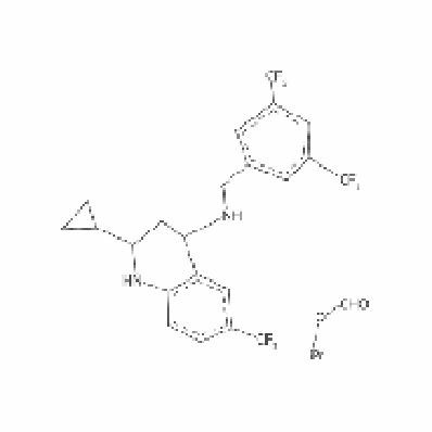 CC(C)OC=O.FC(F)(F)c1cc(CNC2CC(C3CC3)Nc3ccc(C(F)(F)F)cc32)cc(C(F)(F)F)c1